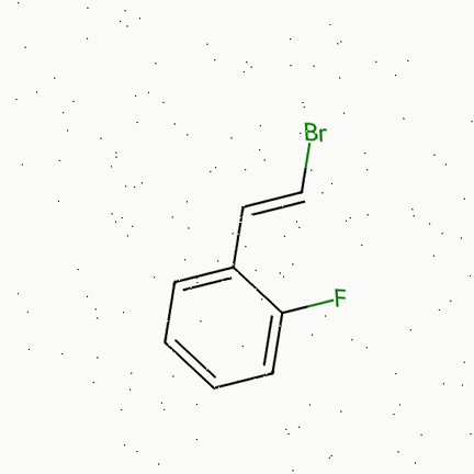 Fc1ccccc1C=CBr